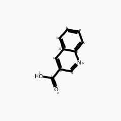 O=C(O)c1cnc2cc[c]cc2c1